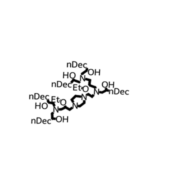 CCCCCCCCCCC(O)CN(CCN1CCN(CC(CN(CC(O)CCCCCCCCCC)CC(O)CCCCCCCCCC)OCC)CC1)CC(CN(CC(O)CCCCCCCCCC)CC(O)CCCCCCCCCC)OCC